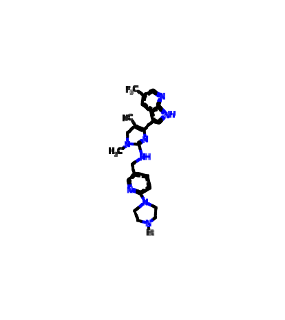 CCN1CCN(c2ccc(CNC3=NC(c4c[nH]c5ncc(C(F)(F)F)cc45)=C(C#N)CN3C)cn2)CC1